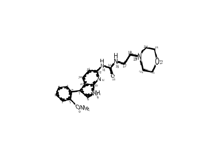 COc1ccccc1-c1c[nH]c2nc(NC(=O)NCCN3CCOCC3)ccc12